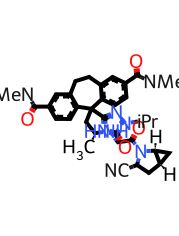 CNC(=O)c1ccc2c(c1)CCc1cc(C(=O)NC)ccc1C2(C[C@@H](C)NCC(=O)N1C(C#N)C[C@@H]2C[C@@H]21)c1nn(C(C)C)c(=O)[nH]1